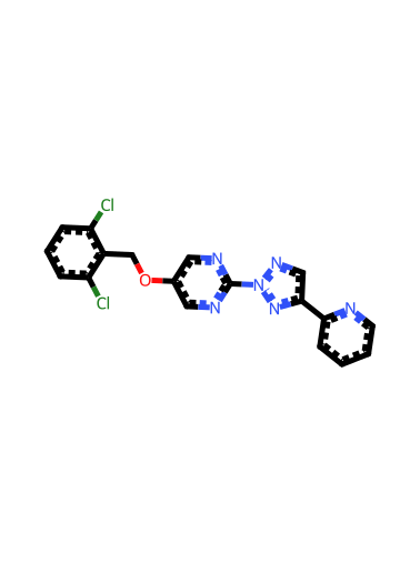 Clc1cccc(Cl)c1COc1cnc(-n2ncc(-c3ccccn3)n2)nc1